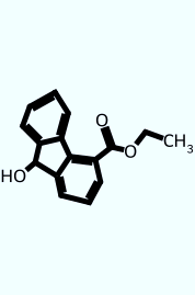 CCOC(=O)c1cccc2c1-c1ccccc1C2O